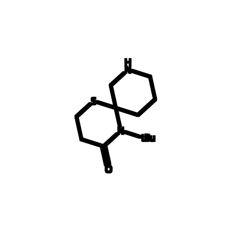 CC(C)(C)N1C(=O)CCSC12CCCNC2